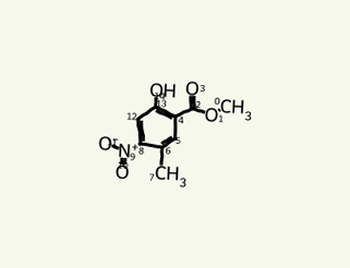 COC(=O)c1cc(C)c([N+](=O)[O-])cc1O